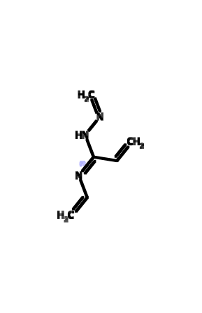 C=C/N=C(\C=C)NN=C